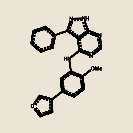 COc1ccc(-c2ccoc2)cc1Nc1ncnc2[nH]nc(-c3ccccc3)c12